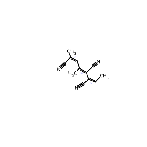 C\C=C(C#N)/C(C#N)=C(C)/C=C(/C)C#N